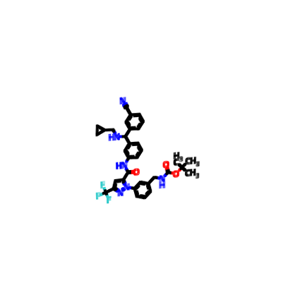 CC(C)(C)OC(=O)NCc1cccc(-n2nc(C(F)(F)F)cc2C(=O)Nc2cccc(C(NCC3CC3)c3cccc(C#N)c3)c2)c1